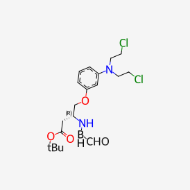 CC(C)(C)OC(=O)C[C@H](COc1cccc(N(CCCl)CCCl)c1)NBC=O